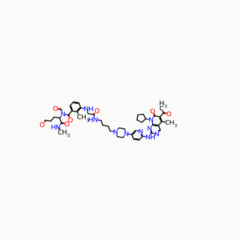 CNC(=O)C(CCC=O)N(C=O)C(=O)c1cccc(NCC(=O)NCCCCN2CCN(c3ccc(Nc4ncc5c(C)c(C(C)=O)c(=O)n(C6CCCC6)c5n4)nc3)CC2)c1C